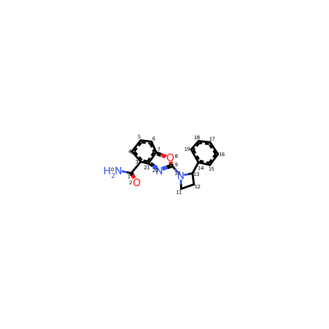 NC(=O)c1[c]ccc2oc(N3CCC3c3ccccc3)nc12